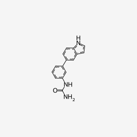 NC(=O)Nc1cccc(-c2ccc3[nH]ccc3c2)c1